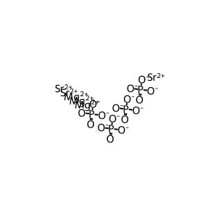 O=P([O-])([O-])[O-].O=P([O-])([O-])[O-].O=P([O-])([O-])[O-].O=P([O-])([O-])[O-].[Mg+2].[Mg+2].[Mg+2].[Sr+2].[Sr+2].[Sr+2]